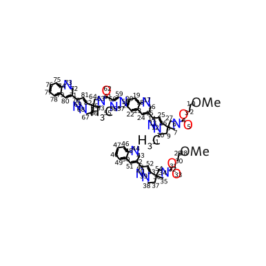 COCCOC(=O)N1CC2(CC(C)n3nc(-c4cnc5ccccc5c4)cc32)C1.COCCOC(=O)N1CC2(CCn3nc(-c4cnc5ccccc5c4)cc32)C1.Cn1cncc1C(=O)N1CC2(CCn3nc(-c4cnc5ccccc5c4)cc32)C1